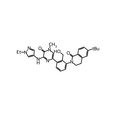 CCn1cc(Nc2nc(-c3cccc(N4CCc5cc(C(C)(C)C)ccc5C4=O)c3CO)cn(C)c2=O)cn1